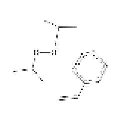 C=Cc1ccccc1.CC(C)OOC(C)C